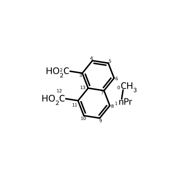 CCCC.O=C(O)c1cccc2cccc(C(=O)O)c12